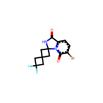 O=C1NC2(CC3(CC(F)(F)C3)C2)n2c1ccc(Br)c2=O